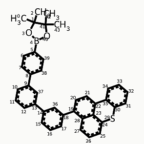 CC1(C)OB(c2ccc(-c3cccc(-c4cccc(-c5ccc6c7c(cccc57)Sc5ccccc5-6)c4)c3)cc2)OC1(C)C